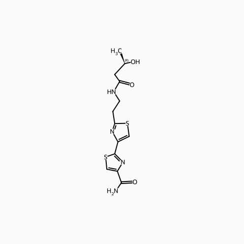 C[C@@H](O)CC(=O)NCCc1nc(-c2nc(C(N)=O)cs2)cs1